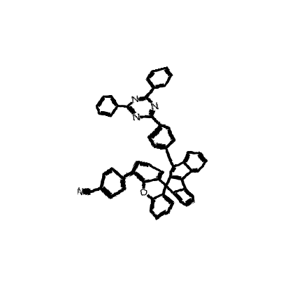 N#Cc1ccc(-c2cccc3c2Oc2ccccc2C32c3ccccc3-c3c2cc(-c2ccc(-c4nc(-c5ccccc5)nc(-c5ccccc5)n4)cc2)c2ccccc32)cc1